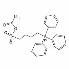 O=C(OS(=O)(=O)CCCC[PH](c1ccccc1)(c1ccccc1)c1ccccc1)C(F)(F)F